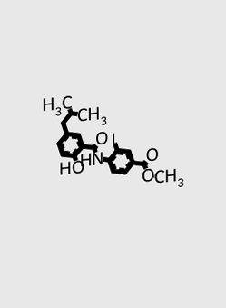 COC(=O)c1ccc(NC(=O)c2cc(CC(C)C)ccc2O)c(I)c1